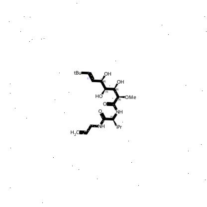 C=CCNC(=O)[C@@H](NC(=O)[C@H](OC)[C@H](O)[C@@H](O)[C@H](O)/C=C/C(C)(C)C)C(C)C